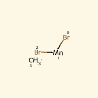 [Br][Mn][Br].[CH3]